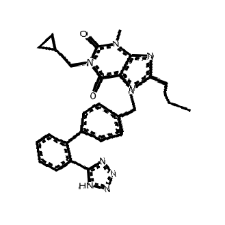 CCCc1nc2c(c(=O)n(CC3CC3)c(=O)n2C)n1Cc1ccc(-c2ccccc2-c2nnn[nH]2)cc1